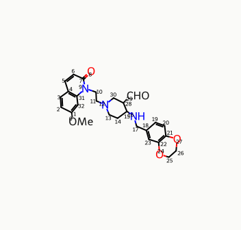 COc1ccc2ccc(=O)n(CCN3CCC(NCc4ccc5c(c4)OCCO5)C(C=O)C3)c2c1